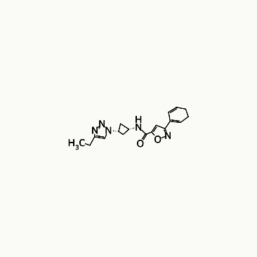 CCc1cn([C@H]2C[C@@H](NC(=O)c3cc(C4=CCCC=C4)no3)C2)nn1